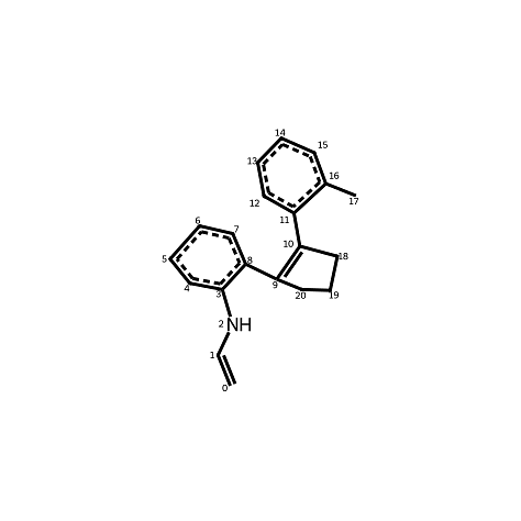 C=CNc1ccccc1C1=C(c2ccccc2C)CCC1